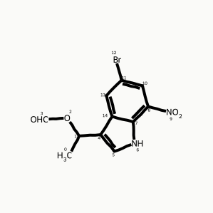 CC(OC=O)c1c[nH]c2c([N+](=O)[O-])cc(Br)cc12